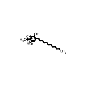 CCCCCCCCCCC[CH]c1cc(O)c(C(C)(C)C)cc1O